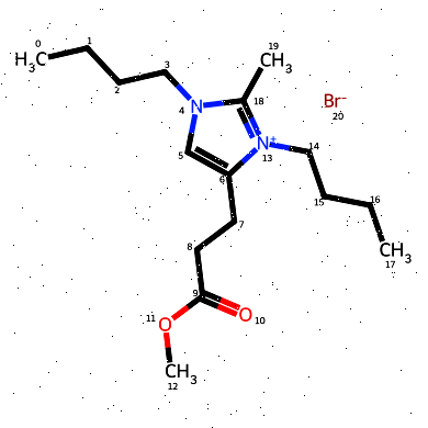 CCCCn1cc(CCC(=O)OC)[n+](CCCC)c1C.[Br-]